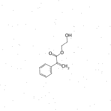 C=C(C(=O)OCCO)c1ccccc1